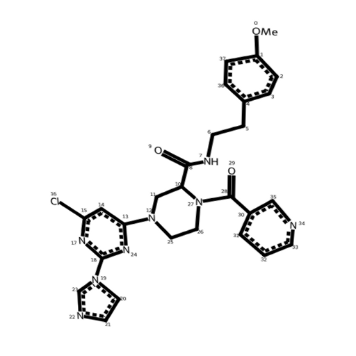 COc1ccc(CCNC(=O)C2CN(c3cc(Cl)nc(-n4ccnc4)n3)CCN2C(=O)c2cccnc2)cc1